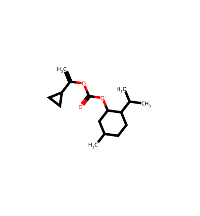 C=C(OC(=O)OC1CC(C)CCC1C(C)C)C1CC1